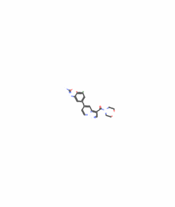 Nc1nc2cc(-c3ccn4ncc(C(=O)N5CCOCC5)c4c3)cc(Cl)c2o1